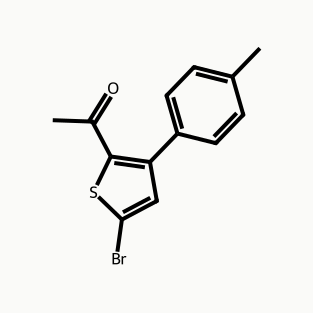 CC(=O)c1sc(Br)cc1-c1ccc(C)cc1